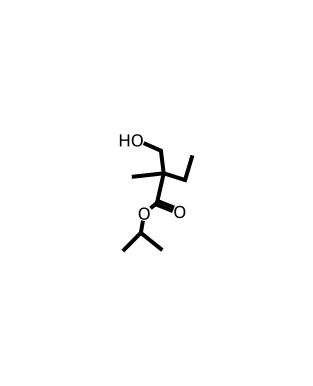 CCC(C)(CO)C(=O)OC(C)C